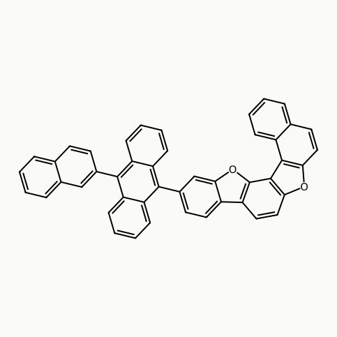 c1ccc2cc(-c3c4ccccc4c(-c4ccc5c(c4)oc4c5ccc5oc6ccc7ccccc7c6c54)c4ccccc34)ccc2c1